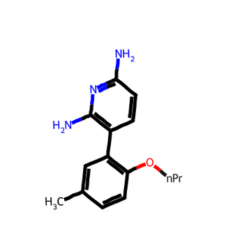 CCCOc1ccc(C)cc1-c1ccc(N)nc1N